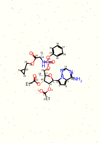 CCC(=O)O[C@H]1[C@H](c2ccc3c(N)ncnn23)O[C@](C)(COP(=O)(N[C@@H](C)C(=O)OCC2CC2)Oc2ccccc2)[C@H]1OC(=O)CC